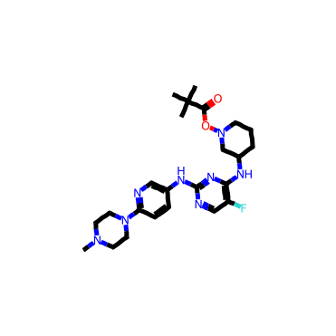 CN1CCN(c2ccc(Nc3ncc(F)c(NC4CCCN(OC(=O)C(C)(C)C)C4)n3)cn2)CC1